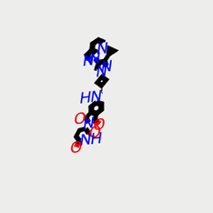 O=C1CCC(N2C(=O)c3ccc(NC[C@H]4C[C@H](n5cc(-n6ncc7cccnc76)c(C6CC6)n5)C4)cc3C2=O)C(=O)N1